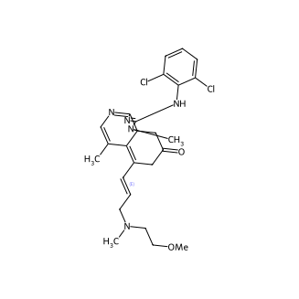 COCCN(C)C/C=C/C1=C2C(C)=CN=C3N=C(Nc4c(Cl)cccc4Cl)N(C)C32CC(=O)C1